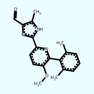 COc1ccc(-c2nc(C=O)c(C)[nH]2)nc1-c1c(C)cccc1C